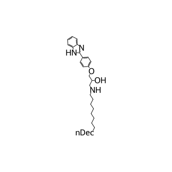 CCCCCCCCCCCCCCCCCCNCC(O)COc1ccc(-c2nc3ccccc3[nH]2)cc1